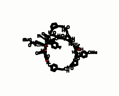 CC[C@H]1NC(=O)[C@H](CNC(=O)OC(C)(C)C)NC(=O)CCC(=O)N2CCCCCCn3cc(c4cc(F)ccc43)C[C@@H]3NC(=O)[C@H](Cc4cccc(c4)CNC(=O)CO[C@H]4CCN(C3=O)[C@@H]4C(=O)N[C@@H]([C@@H](C)O)C(=O)N[C@@H](Cc3ccc(OC)cc3)C(=O)N3CCC[C@@]3(C)C(=O)NCCc3ccc(cc3)C2)NC1=O